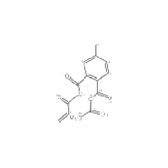 C=CC(=O)OC(=O)c1cc(C)ccc1C(=O)OC(=O)OC